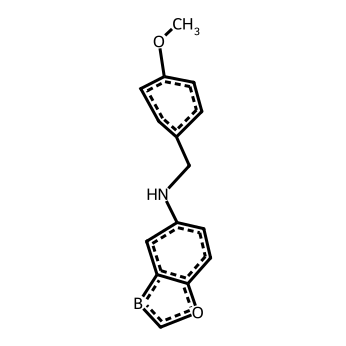 COc1ccc(CNc2ccc3ocbc3c2)cc1